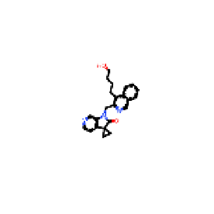 O=C1N(Cc2ncc3ccccc3c2CCCCO)c2cnccc2C12CC2